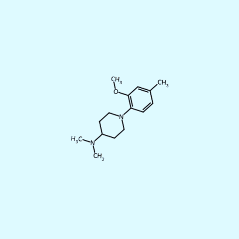 COc1cc(C)ccc1N1CCC(N(C)C)CC1